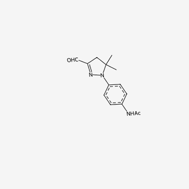 CC(=O)Nc1ccc(N2N=C(C=O)CC2(C)C)cc1